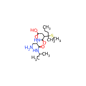 CCCC(C)(SC)C(CC(=O)O)C(=O)NC(CN)C(=O)NC(C)C